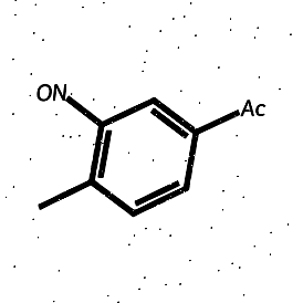 CC(=O)c1ccc(C)c(N=O)c1